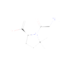 C=C(O)[C@@H]1CCC(C)(C)N1C(=O)CN